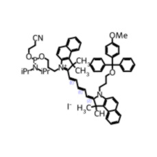 COc1ccc(C(OCCCN2\C(=C/C=C/C=C/C3=[N+](CCCOP(OCCC#N)N(C(C)C)C(C)C)c4ccc5ccccc5c4C3(C)C)C(C)(C)c3c2ccc2ccccc32)(c2ccccc2)c2ccccc2)cc1.[I-]